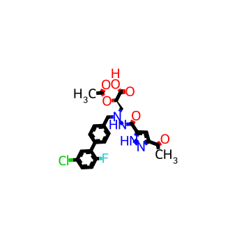 CC(=O)O[C@H](CN(Cc1ccc(-c2cc(Cl)ccc2F)cc1)NC(=O)c1cc(C(C)=O)n[nH]1)C(=O)O